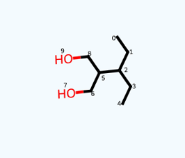 CCC(CC)C(CO)CO